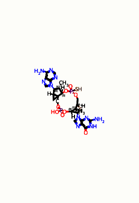 C[C@H]1[C@H]2OP(=O)(O)OCC34C[C@@H]3[C@@H](n3cnc5c(N)ncnc53)[C@H](C)[C@@H]4OP(=O)(S)OC[C@H]1S[C@H]2n1cnc2c(=O)[nH]c(N)nc21